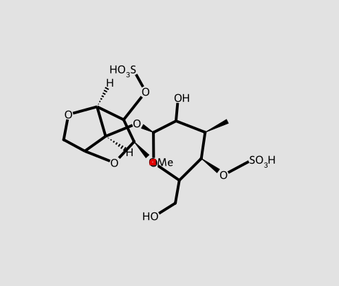 CO[C@H]1OC2CO[C@@H](C1OS(=O)(=O)O)[C@H]2O[C@@H]1OC(CO)[C@H](OS(=O)(=O)O)[C@H](C)C1O